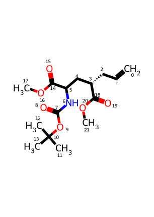 C=CC[C@@H](CC(NC(=O)OC(C)(C)C)C(=O)OC)C(=O)OC